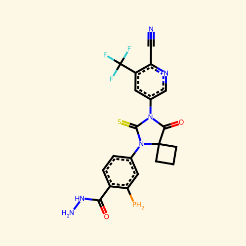 N#Cc1ncc(N2C(=O)C3(CCC3)N(c3ccc(C(=O)NN)c(P)c3)C2=S)cc1C(F)(F)F